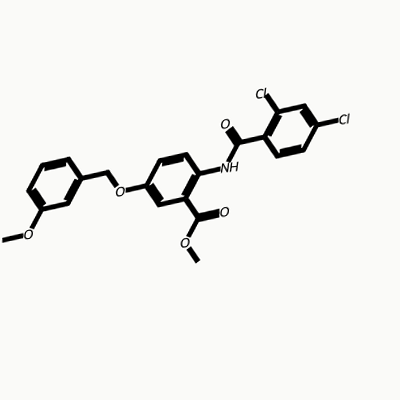 COC(=O)c1cc(OCc2cccc(OC)c2)ccc1NC(=O)c1ccc(Cl)cc1Cl